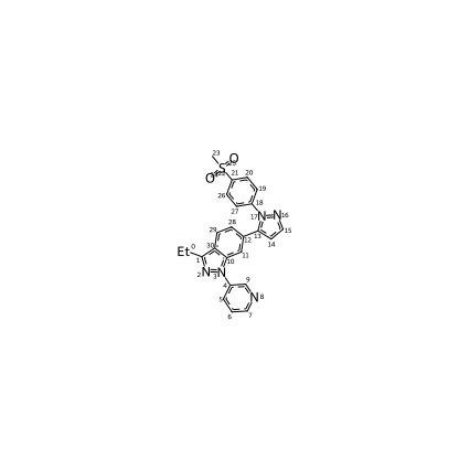 CCc1nn(-c2cccnc2)c2cc(-c3ccnn3-c3ccc(S(C)(=O)=O)cc3)ccc12